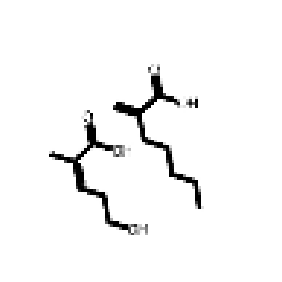 C=C(CCCCC)C(=O)O.CC(=CCCO)C(=O)O